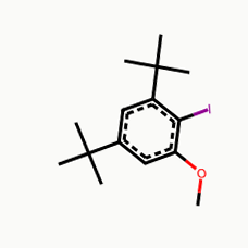 COc1cc(C(C)(C)C)cc(C(C)(C)C)c1I